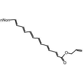 C=CCOC(=O)C=CC=CC=CC=CC=CC=CCCCCCCCCC